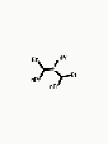 CCCC(CC)P(CCC)C(CC)CCC